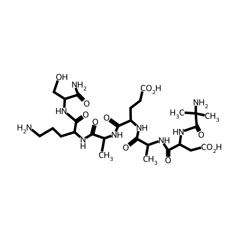 CC(NC(=O)C(CCC(=O)O)NC(=O)C(C)NC(=O)C(CC(=O)O)NC(=O)C(C)(C)N)C(=O)NC(CCCN)C(=O)NC(CO)C(N)=O